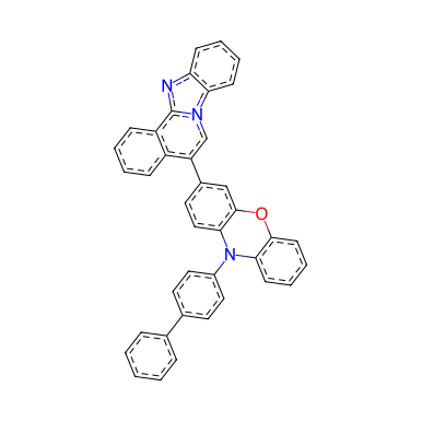 c1ccc(-c2ccc(N3c4ccccc4Oc4cc(-c5cn6c7ccccc7nc6c6ccccc56)ccc43)cc2)cc1